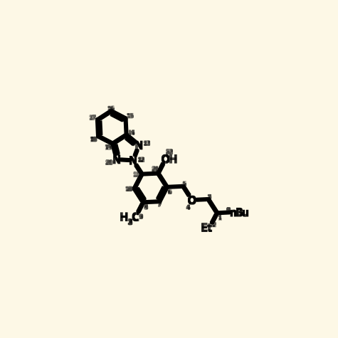 CCCCC(CC)COCC1=CC(C)=CC(n2nc3ccccc3n2)C1O